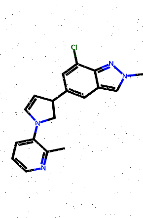 Cc1ncccc1N1C=CC(c2cc(Cl)c3nn(C)cc3c2)C1